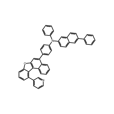 c1ccc(-c2ccc3cc(N(c4ccccc4)c4ccc(-c5cc6oc7cccc(-c8cccnc8)c7c6c6ccccc56)cc4)ccc3c2)cc1